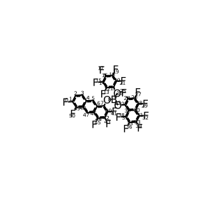 Fc1ccc2cc3c(OB(Oc4c(F)c(F)c(F)c(F)c4F)Oc4c(F)c(F)c(F)c5c(F)c(F)c(F)c(F)c45)c(F)c(F)c(F)c3cc2c1F